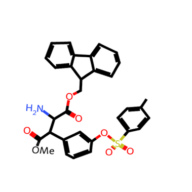 COC(=O)C(c1cccc(OS(=O)(=O)c2ccc(C)cc2)c1)C(N)C(=O)OCC1c2ccccc2-c2ccccc21